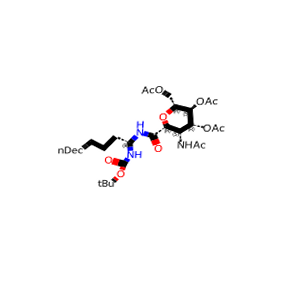 CCCCCCCCCCCCC[C@@H](NC(=O)OC(C)(C)C)NC(=O)[C@@H]1O[C@H](COC(C)=O)[C@@H](OC(C)=O)[C@H](OC(C)=O)[C@@H]1NC(C)=O